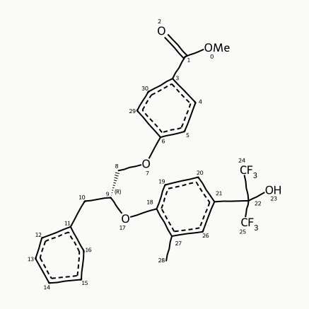 COC(=O)c1ccc(OC[C@@H](Cc2ccccc2)Oc2ccc(C(O)(C(F)(F)F)C(F)(F)F)cc2C)cc1